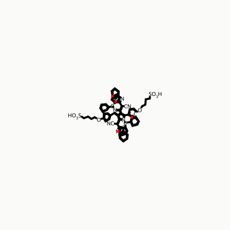 N#C/C(c1nc2ccccc2s1)=c1\c2c(-c3ccc(OCCCCS(=O)(=O)O)cc3)n(B(c3ccccc3)c3ccccc3)/c(=C(/C#N)c3nc4ccccc4s3)c2c(-c2ccc(OCCCCS(=O)(=O)O)cc2)n1B(c1ccccc1)c1ccccc1